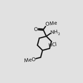 COCC1CCC(N)(C(=O)OC)CC1.Cl